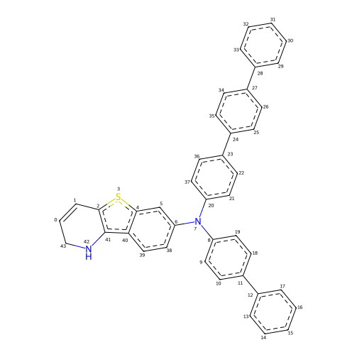 C1=Cc2sc3cc(N(c4ccc(-c5ccccc5)cc4)c4ccc(-c5ccc(-c6ccccc6)cc5)cc4)ccc3c2NC1